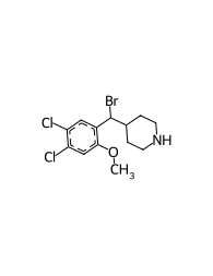 COc1cc(Cl)c(Cl)cc1C(Br)C1CCNCC1